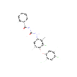 Cc1cc(NC(=O)NC(=O)c2ccccc2F)c(C)c(Cl)c1Oc1cc(Cl)c(Cl)cc1Cl